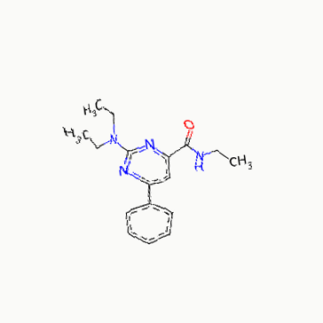 CCNC(=O)c1cc(-c2ccccc2)nc(N(CC)CC)n1